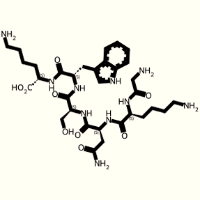 NCCCC[C@H](NC(=O)[C@H](Cc1c[nH]c2ccccc12)NC(=O)[C@H](CO)NC(=O)[C@H](CC(N)=O)NC(=O)[C@H](CCCCN)NC(=O)CN)C(=O)O